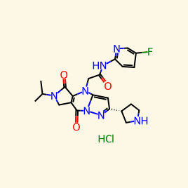 CC(C)N1Cc2c(n(CC(=O)Nc3ccc(F)cn3)c3cc([C@@H]4CCNC4)nn3c2=O)C1=O.Cl